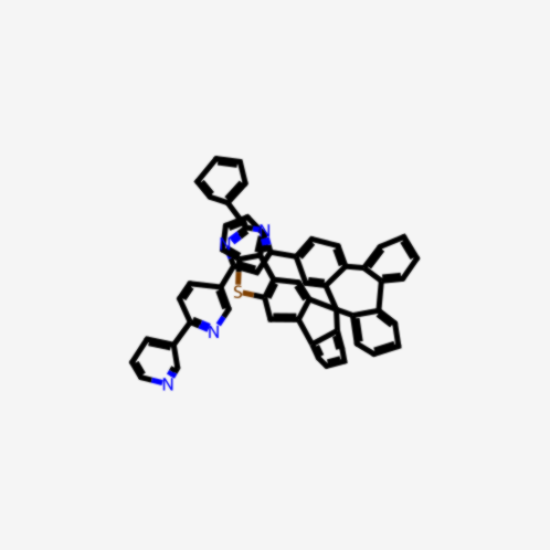 c1ccc(-c2nc(-c3ccc(-c4cccnc4)nc3)cc(-c3ccc4c(c3)C3(c5ccccc5-c5ccccc5-4)c4ccccc4-c4cc5sc6ccccc6c5cc43)n2)cc1